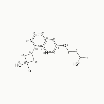 CC(S)CCOc1cnc2c(C3CC(C)(O)C3)nccc2c1